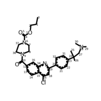 CCCOC(=O)N1CCN(C(=O)c2ccc3c(Cl)cc(-c4ccc(C(C)(C)CN(C)C)cc4)nc3c2)CC1